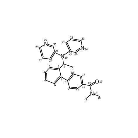 CC(c1ccccc1-c1ccc(C(=O)N(C)C)cc1)N(c1cccnc1)c1cccnc1